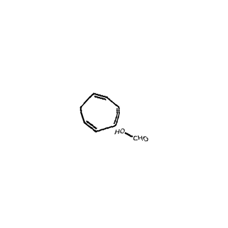 C1=CC=CCC=C1.O=CO